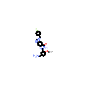 CCCOc1ccc(CN)cc1-c1nc2cc3ncn(Cc4ccc(F)cc4)c3cc2c(=O)[nH]1